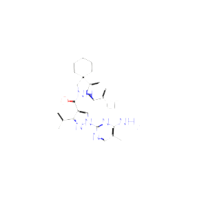 C=C(C)c1nn(-c2ncc(C)c(N)n2)cc1C(=O)NCC1(c2ccc(C(F)(F)F)cc2)CCCCC1